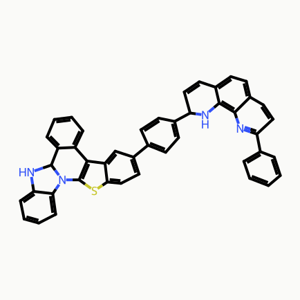 C1=CC(c2ccc(-c3ccc4sc5c(c4c3)-c3ccccc3C3Nc4ccccc4N53)cc2)Nc2c1ccc1ccc(-c3ccccc3)nc21